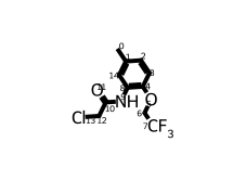 Cc1ccc(OCC(F)(F)F)c(NC(=O)CCl)c1